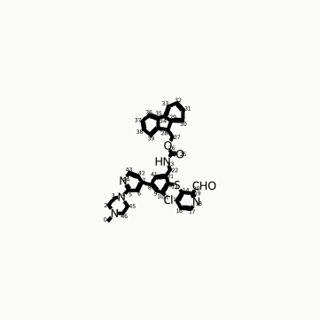 CN1CCN(c2cc(-c3cc(Cl)c(Sc4cccnc4C=O)c(CNC(=O)OCC4c5ccccc5-c5ccccc54)c3)ccn2)CC1